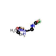 Cc1ccc(C(C)C)c(N2C(=O)CS/C2=N\C(=S)NCCC#Cc2cccc(-c3ncn(-c4ccc(OC(F)(F)F)cc4)n3)c2)c1